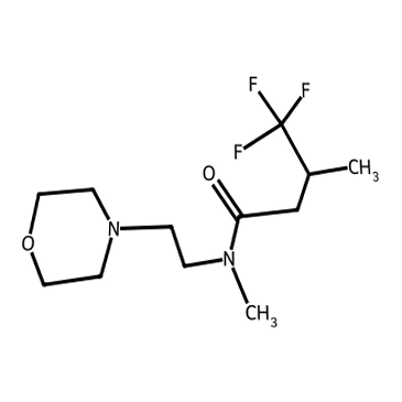 CC(CC(=O)N(C)CCN1CCOCC1)C(F)(F)F